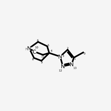 Cc1cn(C23CCN(CC2)CC3)nn1